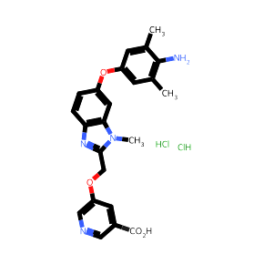 Cc1cc(Oc2ccc3nc(COc4cncc(C(=O)O)c4)n(C)c3c2)cc(C)c1N.Cl.Cl